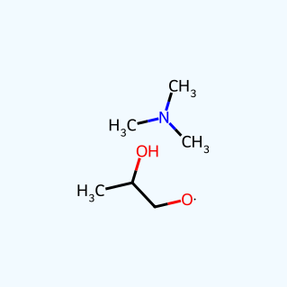 CC(O)C[O].CN(C)C